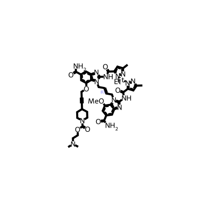 CCn1nc(C)cc1C(=O)Nc1nc2cc(C(N)=O)cc(OC)c2n1C/C=C/Cn1c(NC(=O)c2cc(C)nn2CC)nc2cc(C(N)=O)cc(OCC#CC3CCN(C(=O)OCCN(C)C)CC3)c21